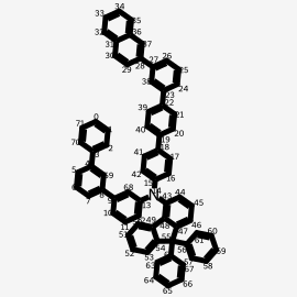 c1ccc(-c2cccc(-c3cccc(N(c4ccc(-c5ccc(-c6cccc(-c7ccc8ccccc8c7)c6)cc5)cc4)c4cccc5c4-c4ccccc4C5(c4ccccc4)c4ccccc4)c3)c2)cc1